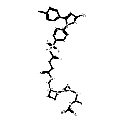 Cc1ccc(-c2cc(C(F)(F)F)nn2-c2ccc(S(=O)(=O)NC(=O)CCC(=O)OC[C@@H]3CCN3n3on3OC(C)OC(=O)C(C)C)cc2)cc1